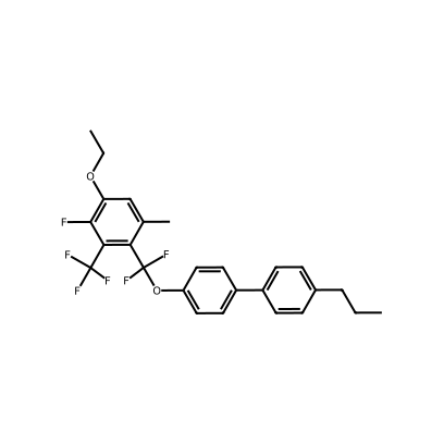 CCCc1ccc(-c2ccc(OC(F)(F)c3c(C)cc(OCC)c(F)c3C(F)(F)F)cc2)cc1